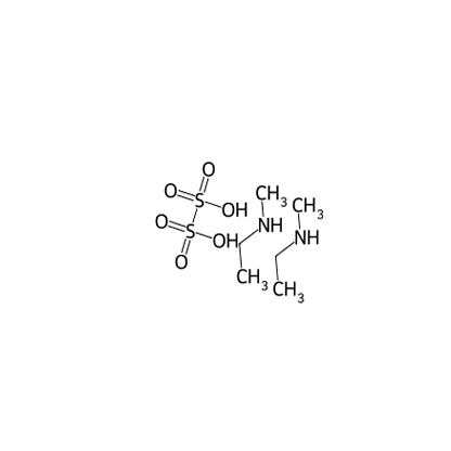 CCNC.CCNC.O=S(=O)(O)S(=O)(=O)O